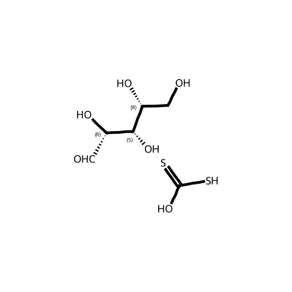 O=C[C@H](O)[C@@H](O)[C@H](O)CO.OC(=S)S